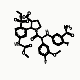 CCS(=O)(=O)c1ccc(NC(=O)OC)cc1C1C(C(=O)O)CCN1C(=O)[C@@H](Nc1ccc(F)c(C(N)=O)c1)c1ccc(F)c(OC)c1